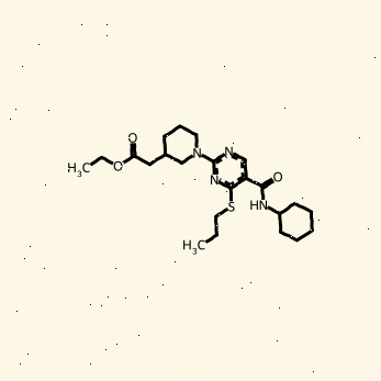 CCCSc1nc(N2CCCC(CC(=O)OCC)C2)ncc1C(=O)NC1CCCCC1